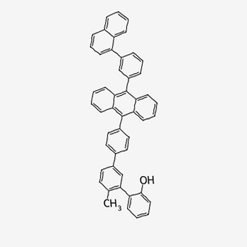 Cc1ccc(-c2ccc(-c3c4ccccc4c(-c4cccc(-c5cccc6ccccc56)c4)c4ccccc34)cc2)cc1-c1ccccc1O